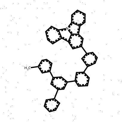 Cc1cccc(-c2cc(-c3ccccc3)cc(-c3cccc(-c4cccc(-c5cc6c7ccccc7n7c8ccccc8c(c5)c67)c4)c3)c2)c1